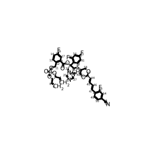 C=CCOP(=O)(OCC=C)OCc1ccc(F)cc1C(=O)O[C@@](Cn1cncn1)(c1ccc(F)cc1F)[C@@H](C)S[C@H]1CO[C@H](C=CC=Cc2ccc(C#N)cc2F)OC1